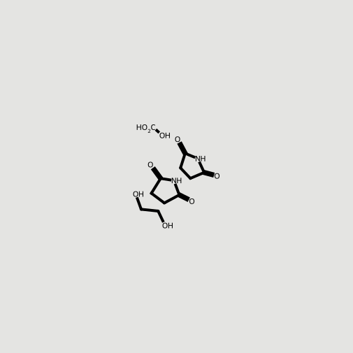 O=C(O)O.O=C1CCC(=O)N1.O=C1CCC(=O)N1.OCCO